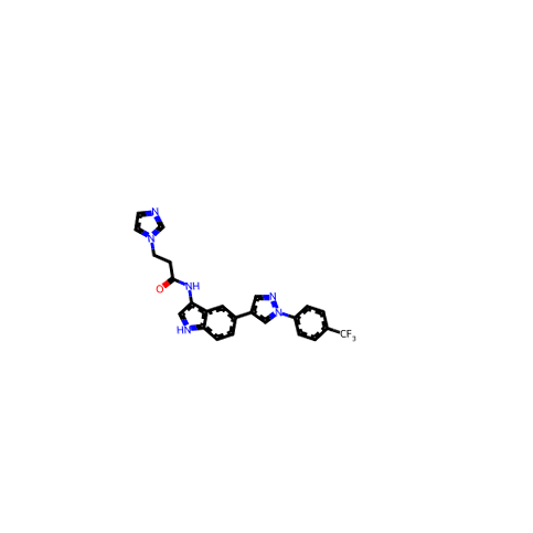 O=C(CCn1ccnc1)Nc1c[nH]c2ccc(-c3cnn(-c4ccc(C(F)(F)F)cc4)c3)cc12